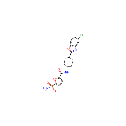 NS(=O)(=O)c1ccc(C(=O)N[C@H]2CC[C@H](c3nc4cc(Cl)ccc4o3)CC2)o1